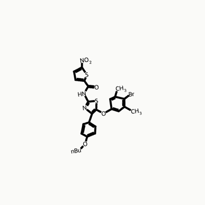 CCCCOc1ccc(-c2nc(NC(=O)c3ccc([N+](=O)[O-])s3)sc2Oc2cc(C)c(Br)c(C)c2)cc1